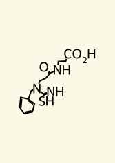 N=C(S)N(CCC(=O)NCCC(=O)O)Cc1ccccc1